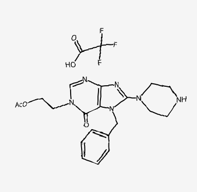 CC(=O)OCCn1cnc2nc(N3CCNCC3)n(Cc3ccccc3)c2c1=O.O=C(O)C(F)(F)F